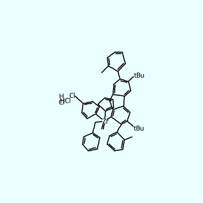 Cl.Cl.[CH2]=[Zr]([CH2]c1ccccc1)([C]1=CC=CC1)([c]1ccc(Cl)cc1)[c]1c2c(cc(C(C)(C)C)c1-c1ccccc1C)-c1cc(C(C)(C)C)c(-c3ccccc3C)cc1C2